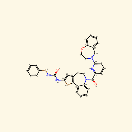 O=C(NSc1ccccc1)Nc1cc2c(s1)-c1ccccc1N(C(=O)c1cccc(N3CCOc4ccccc4C3)n1)CC2